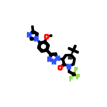 COc1cc(-c2cn(C3C[C@H](C(C)(C)C)CCN(CC(F)(F)F)C3=O)nn2)ccc1-n1cnc(C)c1